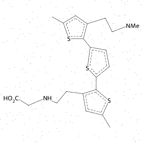 CNCCc1cc(C)sc1-c1ccc(-c2sc(C)cc2CCNCC(=O)O)s1